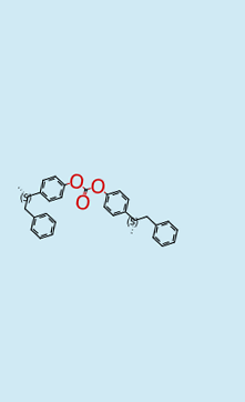 C[C@@H](Cc1ccccc1)c1ccc(OC(=O)Oc2ccc([C@@H](C)Cc3ccccc3)cc2)cc1